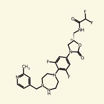 Cc1cc(CN2CCN(c3c(F)cc(N4C[C@H](CNC(=O)C(F)F)OC4=O)cc3F)CCN2)ccn1